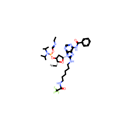 [2H]C[C@H]1O[C@@H](n2c(NCCCCCCNC(=O)C(F)(F)F)nc3c(NC(=O)c4ccccc4)ncnc32)CC1OP(O/C=N/CC)N(C(C)C)C(C)C